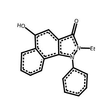 CCn1c(=O)c2cc(O)c3ccccc3c2n1-c1ccccc1